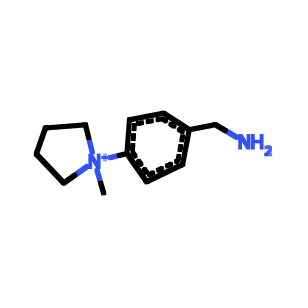 C[N+]1(c2ccc(CN)cc2)CCCC1